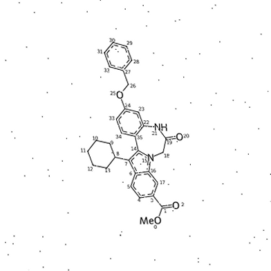 COC(=O)c1ccc2c(C3CCCCC3)c3n(c2c1)CC(=O)Nc1cc(OCc2ccccc2)ccc1-3